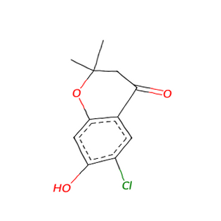 CC1(C)CC(=O)c2cc(Cl)c(O)cc2O1